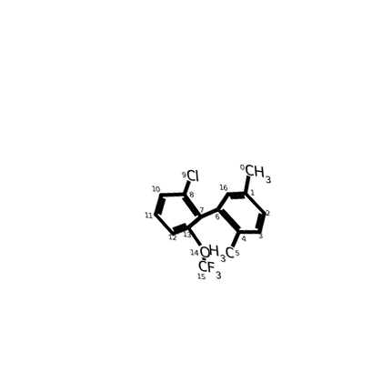 Cc1ccc(C)c(-c2c(Cl)cccc2OC(F)(F)F)c1